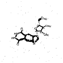 CC(=O)OC[C@H]1O[C@@H](n2cnc3cc4c(cc32)=C(Cl)NNC=4Cl)[C@H](OC(C)=O)[C@@H]1OC(C)=O